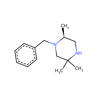 C[C@H]1CNC(C)(C)CN1Cc1ccccc1